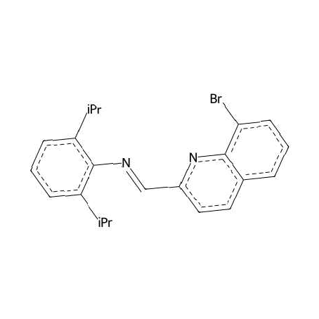 CC(C)c1cccc(C(C)C)c1N=Cc1ccc2cccc(Br)c2n1